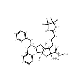 CC(=O)NC1(C(=O)NC(C)(C)C)C[C@H]2CC(N(Cc3ccccc3)Cc3ccccc3)C[C@H]2C1CCCB1OC(C)(C)C(C)(C)O1